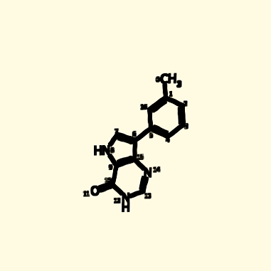 Cc1cccc(-c2c[nH]c3c(=O)[nH]cnc23)c1